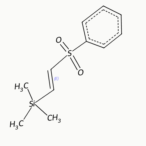 C[Si](C)(C)/C=C/S(=O)(=O)c1ccccc1